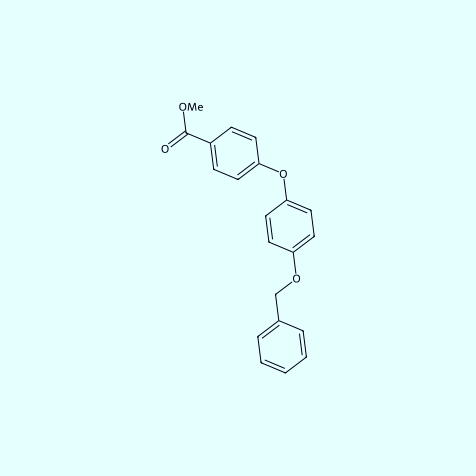 COC(=O)c1ccc(Oc2ccc(OCc3ccccc3)cc2)cc1